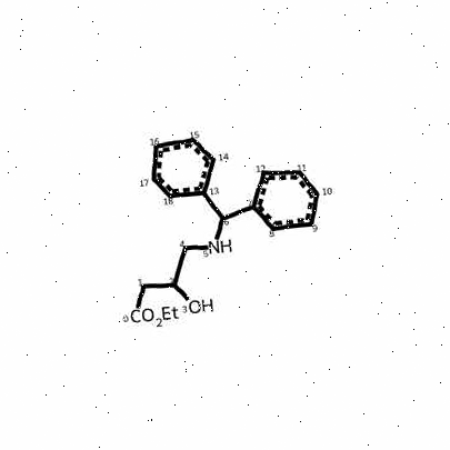 CCOC(=O)CC(O)CNC(c1ccccc1)c1ccccc1